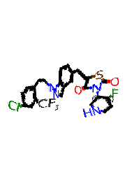 O=C1SC(=Cc2ccc3c(cnn3Cc3ccc(Cl)cc3C(F)(F)F)c2)C(=O)N1[C@@H]1CNCC[C@@H]1F